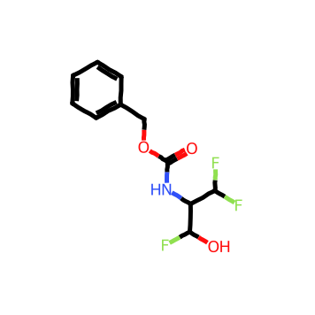 O=C(NC(C(O)F)C(F)F)OCc1ccccc1